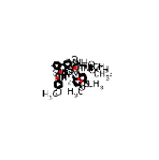 COc1ccc(CN(Cc2ccc(OC)cc2)S(=O)(=O)c2c(S(=O)(=O)NCCNC(=O)OC(C)(C)C)ccc(-c3cccc4sc(N)nc34)c2-c2nnn(Cc3ccc(OC)cc3)n2)cc1